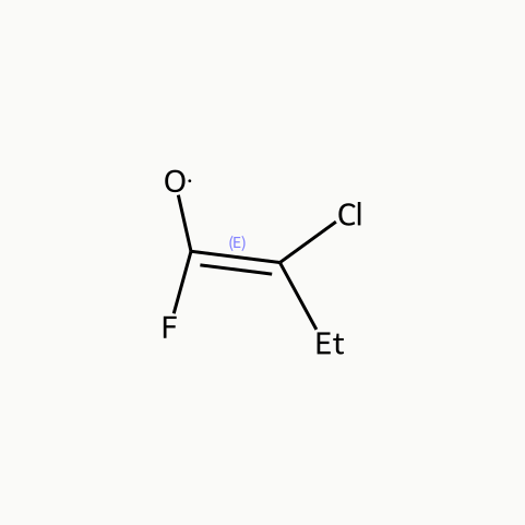 CC/C(Cl)=C(/[O])F